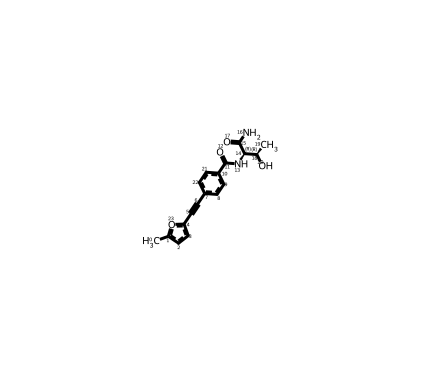 Cc1ccc(C#Cc2ccc(C(=O)N[C@@H](C(N)=O)[C@@H](C)O)cc2)o1